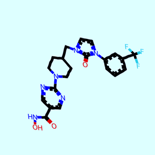 O=C(NO)c1cnc(N2CCC(Cn3ccn(-c4cccc(C(F)(F)F)c4)c3=O)CC2)nc1